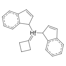 C1=C[CH]([Hf](=[C]2CCC2)[CH]2C=Cc3ccccc32)c2ccccc21